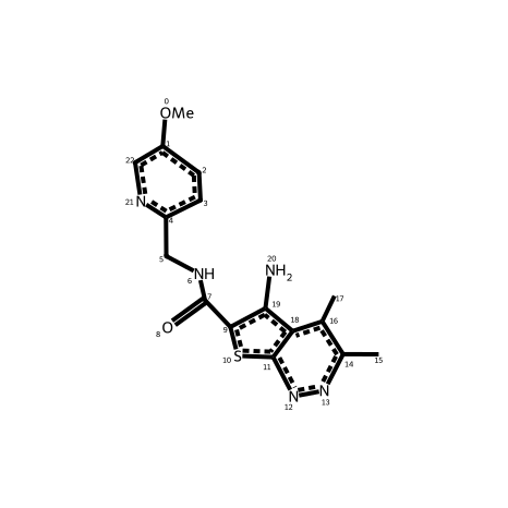 COc1ccc(CNC(=O)c2sc3nnc(C)c(C)c3c2N)nc1